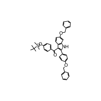 CC(C)(C)[Si](C)(C)Oc1ccc(C(=O)c2c(-c3ccc(OCc4ccccc4)cc3)[nH]c3cc(OCc4ccccc4)ccc23)cc1